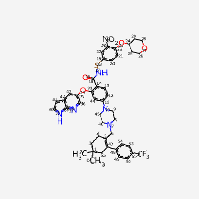 CC1(C)CCC(CN2CCN(c3ccc(C(=O)NSc4ccc(OC5CCOCC5)c([N+](=O)[O-])c4)c(Oc4cnc5[nH]ccc5c4)c3)CC2)=C(c2ccc(C(F)(F)F)cc2)C1